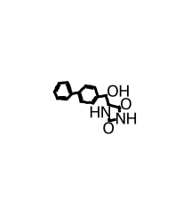 O=C1NC(=O)[C@@H]([C@@H](O)c2ccc(-c3ccccc3)cc2)N1